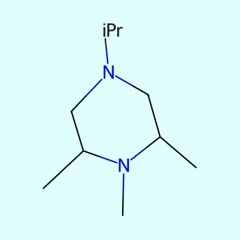 CC(C)N1CC(C)N(C)C(C)C1